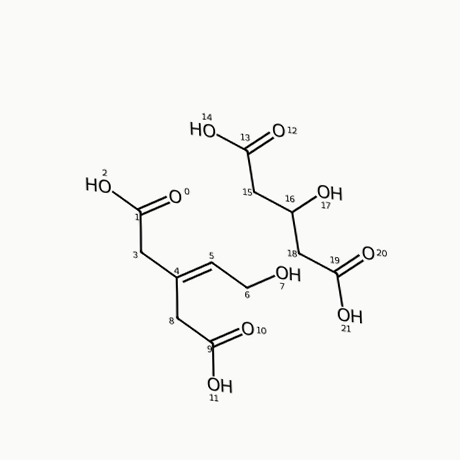 O=C(O)CC(=CCO)CC(=O)O.O=C(O)CC(O)CC(=O)O